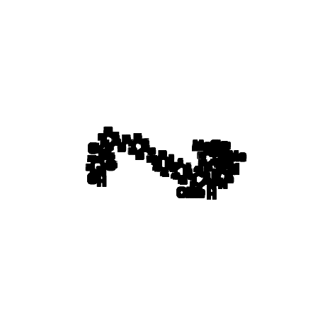 COc1cc(N2CCC(N3CCN(CCc4ccc(CCc5cccc6c5CN(C5CCC(=O)NC5=O)C6=O)cc4)CC3)CC2)ccc1Nc1ncc(Cl)c(Nc2ccccc2P(=O)(OC)OC)n1